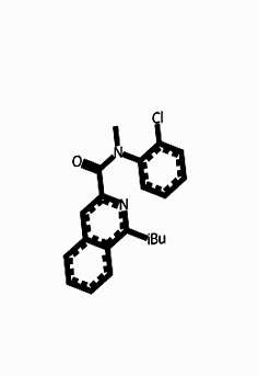 CCC(C)c1nc(C(=O)N(C)c2ccccc2Cl)cc2ccccc12